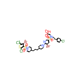 O=C(O)CN(CCc1ccc(Cl)cc1)S(=O)(=O)c1cnc(N2CCC(CCCC3CCN(S(=O)(=O)c4c(Cl)sc(Cl)c4Br)CC3)CC2)c(Br)c1